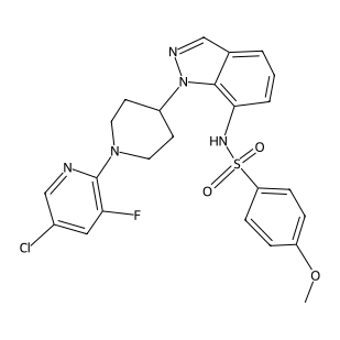 COc1ccc(S(=O)(=O)Nc2cccc3cnn(C4CCN(c5ncc(Cl)cc5F)CC4)c23)cc1